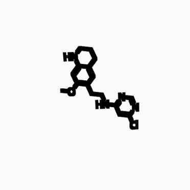 COc1cc2c(cc1CCNc1cc(Cl)ncn1)CCCN2